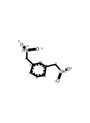 O=[SH](=O)Cc1[c]ccc(C[SH](=O)=O)c1